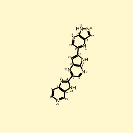 c1cc2nc(-c3cnc4[nH]c(-c5cnc6[nH]ncc6n5)cc4n3)[nH]c2cn1